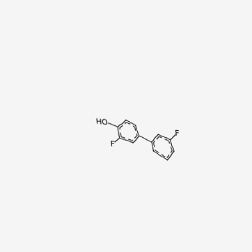 Oc1ccc(-c2cccc(F)c2)cc1F